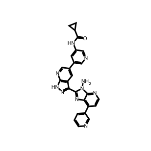 Nn1c(-c2n[nH]c3ncc(-c4cncc(NC(=O)C5CC5)c4)cc23)nc2c(-c3cccnc3)ccnc21